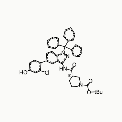 CC(C)(C)OC(=O)N1CCC[C@H](C(=O)Nc2nn(C(c3ccccc3)(c3ccccc3)c3ccccc3)c3ccc(-c4ccc(O)cc4Cl)cc23)C1